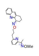 CO/N=C(\C)c1cccc(CCCO/N=C2\CCCc3cc4ccccc4nc32)n1